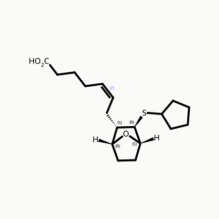 O=C(O)CCC/C=C\C[C@@H]1[C@@H](SC2CCCC2)[C@@H]2CC[C@H]1O2